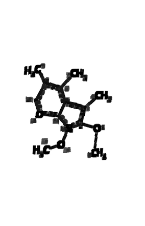 COc1c(C)c2c(C)c(C)coc-2[si]1OC